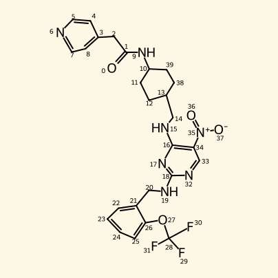 O=C(Cc1ccncc1)NC1CCC(CNc2nc(NCc3ccccc3OC(F)(F)F)ncc2[N+](=O)[O-])CC1